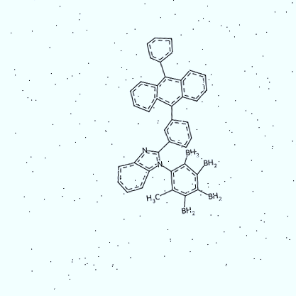 Bc1c(B)c(B)c(-n2c(-c3cccc(-c4c5ccccc5c(-c5ccccc5)c5ccccc45)c3)nc3ccccc32)c(C)c1B